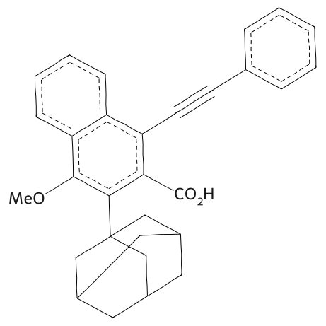 COc1c(C23CC4CC(CC(C4)C2)C3)c(C(=O)O)c(C#Cc2ccccc2)c2ccccc12